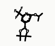 CC(C)Oc1cc(B2OC(C)(C)C(C)(C)O2)cc(C(F)(F)F)n1